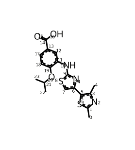 Cc1nc(C)c(-c2csc(Nc3cc(C(=O)O)ccc3OC(C)C)n2)s1